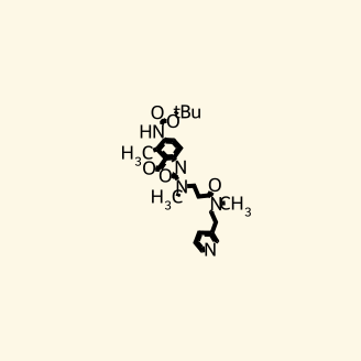 Cc1c(NC(=O)OC(C)(C)C)ccc2nc(N(C)CCC(=O)N(C)CCc3cccnc3)oc(=O)c12